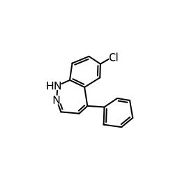 Clc1ccc2c(c1)C(c1ccccc1)=CC=NN2